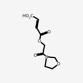 O=C(O)/C=C/C(=O)OCC(=O)N1CCOC1